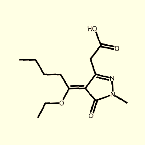 CCCCC(OCC)=C1C(=O)N(C)N=C1CC(=O)O